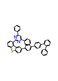 c1ccc(-c2cc(-c3ccccc3)nc(-c3cccc4sc5ccc(-c6ccc(-c7ccc(-c8ccccc8-c8ccccc8)cc7)cc6)cc5c34)n2)cc1